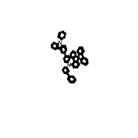 C1=CCC(n2c3ccccc3c3cc(-c4ccc(N(c5cccc(-c6ccccc6)c5)c5cccc6c5-c5ccccc5C65c6ccccc6-c6ccccc65)cc4)ccc32)C=C1